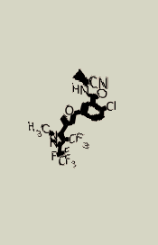 Cn1nc(C(F)(F)C(F)(F)F)c(C(F)(F)F)c1-c1coc(-c2ccc(Cl)c(C(=O)NC3(C#N)CC3)c2)c1